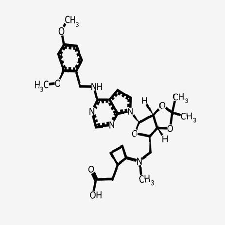 COc1ccc(CNc2ncnc3c2ccn3[C@@H]2O[C@H](CN(C)C3CCC3CC(=O)O)[C@H]3OC(C)(C)O[C@H]32)c(OC)c1